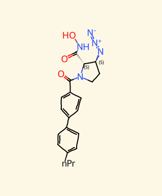 CCCc1ccc(-c2ccc(C(=O)N3CC[C@H](N=[N+]=[N-])[C@H]3C(=O)NO)cc2)cc1